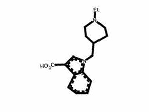 CCN1CCC(Cn2cc(C(=O)O)c3ccccc32)CC1